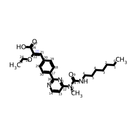 CCCCCCCNC(=O)N(C)c1ccnc(-c2ccc(/C=C(\OCC)C(=O)O)cc2)n1